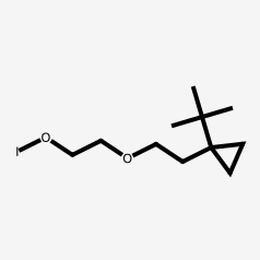 CC(C)(C)C1(CCOCCOI)CC1